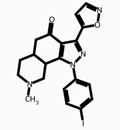 CN1CCC2CC(=O)c3c(-c4ccno4)nn(-c4ccc(I)cc4)c3C2C1